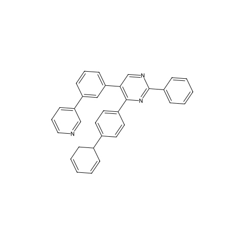 C1=CCC(c2ccc(-c3nc(-c4ccccc4)ncc3-c3cccc(-c4cccnc4)c3)cc2)C=C1